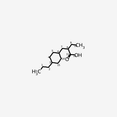 CCCC1CCC(CC(CC)C(=O)O)CC1